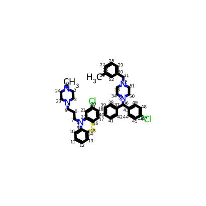 CN1CCN(CCCN2c3ccccc3Sc3ccc(Cl)cc32)CC1.Cc1cccc(CN2CCN(C(c3ccccc3)c3ccc(Cl)cc3)CC2)c1